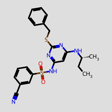 CC[C@@H](C)Nc1cc(NS(=O)(=O)c2cccc(C#N)c2)nc(SCc2ccccc2)n1